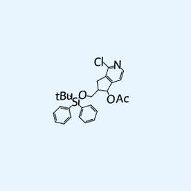 CC(=O)OC1c2ccnc(Cl)c2CC1CO[Si](c1ccccc1)(c1ccccc1)C(C)(C)C